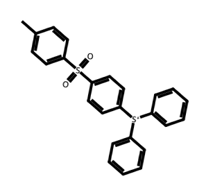 Cc1ccc(S(=O)(=O)c2ccc([S+](c3ccccc3)c3ccccc3)cc2)cc1